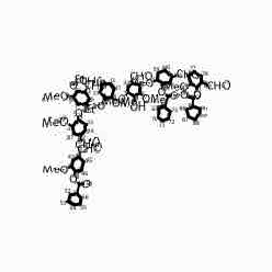 CCOc1c(C=O)cccc1OC.CCOc1cc(C=O)ccc1OC.CCOc1ccc(C=O)cc1OC.COc1cc(C=O)cc(OC)c1O.COc1cc(C=O)ccc1OC(=O)c1ccccc1.COc1ccc(C=O)cc1OC(=O)c1ccccc1.COc1cccc(C=O)c1OC(=O)c1ccccc1